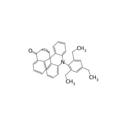 CCc1cc(CC)c(N2c3ccccc3C3(c4ccccc4C(=O)c4ccccc43)c3ccccc32)c(CC)c1